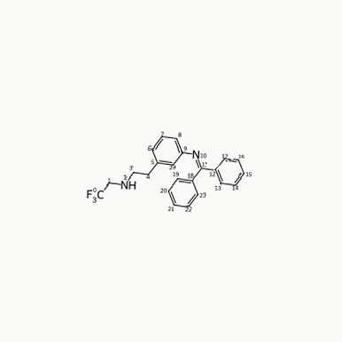 FC(F)(F)CNCCc1cccc(N=C(c2ccccc2)c2ccccc2)c1